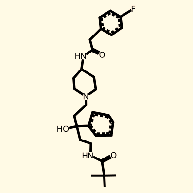 CC(C)(C)C(=O)NCCC(O)(CCN1CCC(NC(=O)Cc2ccc(F)cc2)CC1)c1ccccc1